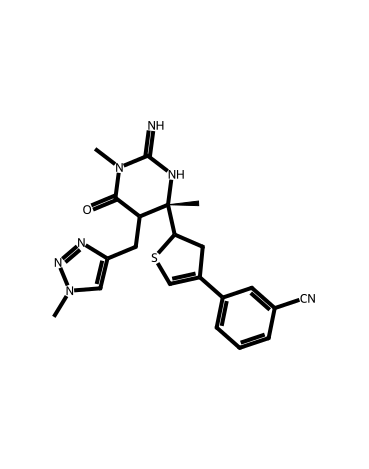 CN1C(=N)N[C@](C)(C2CC(c3cccc(C#N)c3)=CS2)C(Cc2cn(C)nn2)C1=O